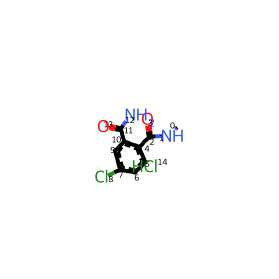 CNC(=O)c1ccc(Cl)cc1C(N)=O.Cl